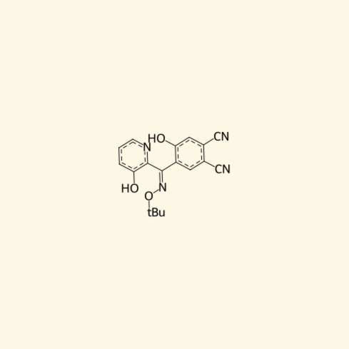 CC(C)(C)ON=C(c1cc(C#N)c(C#N)cc1O)c1ncccc1O